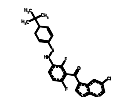 CC(C)(C)C1C=CC(SNc2ccc(F)c(C(=O)c3c[nH]c4ncc(Cl)cc34)c2F)=CC1